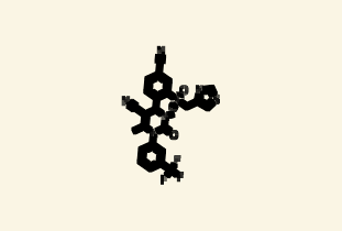 CC1=C(C#N)C(c2ccc(C#N)cc2S(=O)(=O)Cc2cscn2)N(C)C(=O)N1c1cccc(C(F)(F)F)c1